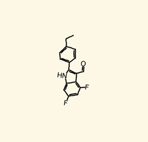 CCc1ccc(-c2[nH]c3cc(F)cc(F)c3c2C=O)cc1